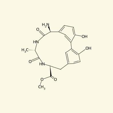 COC(=O)[C@@H]1Cc2ccc(O)c(c2)-c2cc(ccc2O)[C@H](N)C(=O)N[C@@H](C)C(=O)N1